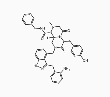 CN1CC(=O)N2[C@@H](Cc3ccc(O)cc3)C(=O)N(Cc3cccc4[nH]nc(Cc5ccccc5N)c34)C[C@@H]2N1C(=O)NCc1ccccc1